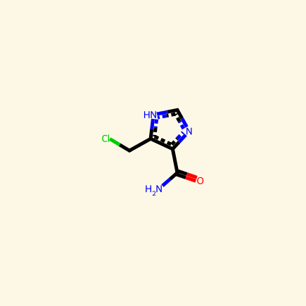 NC(=O)c1nc[nH]c1CCl